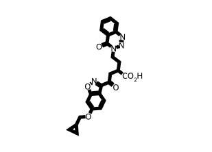 O=C(CC(CCn1nnc2ccccc2c1=O)C(=O)O)c1noc2cc(OCC3CC3)ccc12